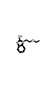 CCOCCn1c(O)nc2ccccc21